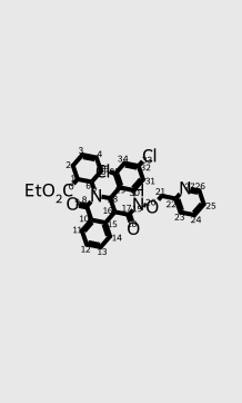 CCOC(=O)C1CC=CCC1N1C(=O)c2ccccc2C(C(=O)NOCc2ccccn2)C1c1ccc(Cl)cc1Cl